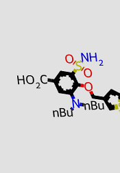 CCCCN(CCCC)c1cc(C(=O)O)cc(S(N)(=O)=O)c1OCc1ccsc1